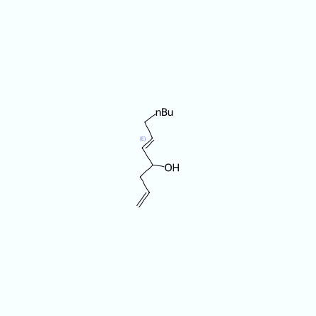 C=CCC(O)/C=C/CCCCC